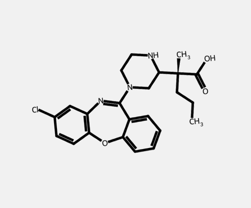 CCC[C@@](C)(C(=O)O)C1CN(C2=Nc3cc(Cl)ccc3Oc3ccccc32)CCN1